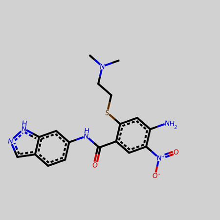 CN(C)CCSc1cc(N)c([N+](=O)[O-])cc1C(=O)Nc1ccc2cn[nH]c2c1